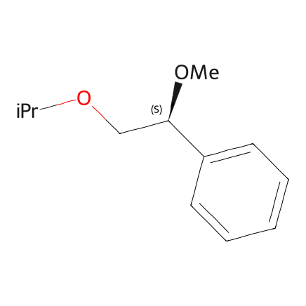 CO[C@H](COC(C)C)c1ccccc1